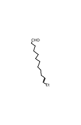 CC/C=C/CCCCCCCCC[C]=O